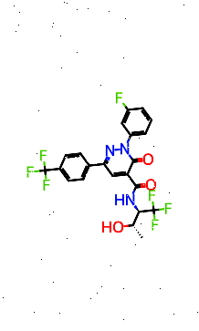 C[C@H](O)[C@@H](NC(=O)c1cc(-c2ccc(C(F)(F)F)cc2)nn(-c2cccc(F)c2)c1=O)C(F)(F)F